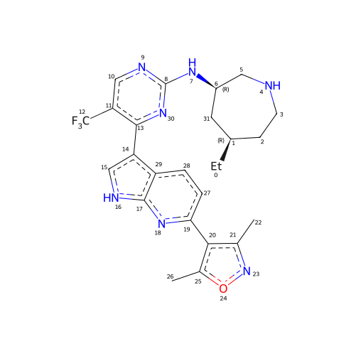 CC[C@@H]1CCNC[C@H](Nc2ncc(C(F)(F)F)c(-c3c[nH]c4nc(-c5c(C)noc5C)ccc34)n2)C1